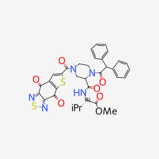 COC(=O)[C@@H](NC(=O)C1CN(C(=O)c2cc3c(s2)C(=O)c2nsnc2C3=O)CCN1C(=O)C(c1ccccc1)c1ccccc1)C(C)C